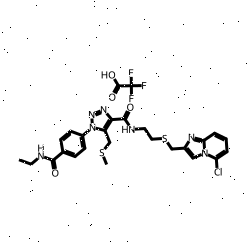 CCNC(=O)c1ccc(-n2nnc(C(=O)NCCSCc3cn4c(Cl)cccc4n3)c2CSC)cc1.O=C(O)C(F)(F)F